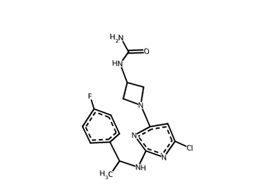 CC(Nc1nc(Cl)cc(N2CC(NC(N)=O)C2)n1)c1ccc(F)cc1